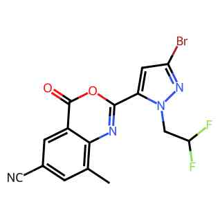 Cc1cc(C#N)cc2c(=O)oc(-c3cc(Br)nn3CC(F)F)nc12